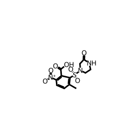 Cc1ccc([N+](=O)[O-])c(C(=O)O)c1S(=O)(=O)N1CCNC(=O)C1